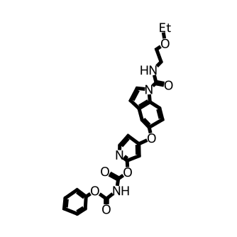 CCOCCNC(=O)n1ccc2cc(Oc3ccnc(OC(=O)NC(=O)Oc4ccccc4)c3)ccc21